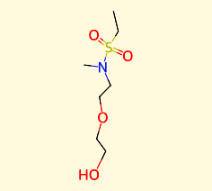 CCS(=O)(=O)N(C)CCOCCO